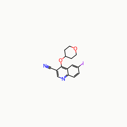 N#Cc1cnc2ccc(I)cc2c1OC1CCOCC1